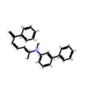 C=C(/C=C\C=C(/C)N(C)c1cccc(-c2ccccc2)c1)c1ccccc1